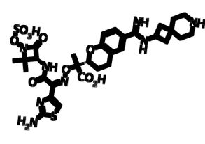 CC(O/N=C(\C(=O)N[C@@H]1C(=O)N(OS(=O)(=O)O)C1(C)C)c1csc(N)n1)(C(=O)O)[C@H]1CCc2cc(C(=N)NC3CC4(CCNCC4)C3)ccc2O1